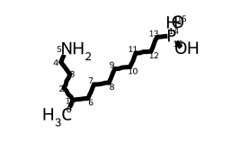 CC(CCCN)CCCCCCCC[PH](=O)O